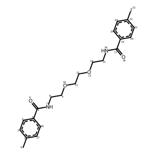 Cc1ccc(C(=O)NCCOCCOCCNC(=O)c2ccc(I)cc2)cc1